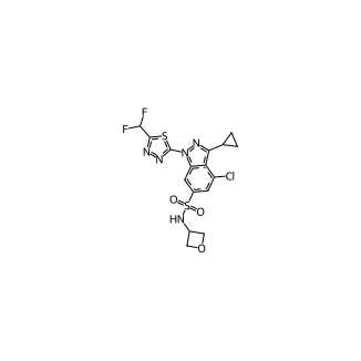 O=S(=O)(NC1COC1)c1cc(Cl)c2c(C3CC3)nn(-c3nnc(C(F)F)s3)c2c1